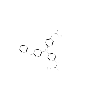 CC(O)Oc1ccc(N(c2ccc(Oc3ccccc3)cc2)c2ccc(OC(C)O)cc2)cc1